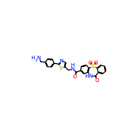 NCc1ccc(-c2ncc(CNC(=O)c3ccc4c(c3)NC(=O)c3ccccc3S4(=O)=O)s2)cc1